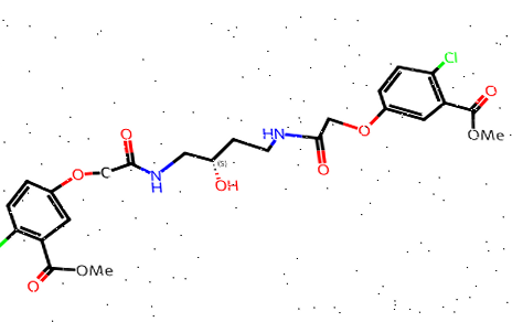 COC(=O)c1cc(OCC(=O)NCC[C@H](O)CNC(=O)COc2ccc(Cl)c(C(=O)OC)c2)ccc1Cl